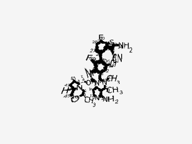 C[C@@H]1CN2[C@@H](COc3nc(N(C)[C@H](C)c4cccnc4N)c4cc(Cl)c(-c5ccc(F)c6sc(N)c(C#N)c56)c(F)c4n3)CC[C@H]2CO1